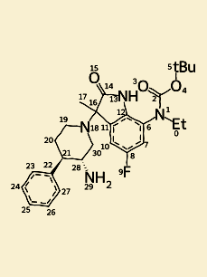 CCN(C(=O)OC(C)(C)C)c1cc(F)cc2c1NC(=O)C2(C)N1CC[C@H](c2ccccc2)[C@@H](N)C1